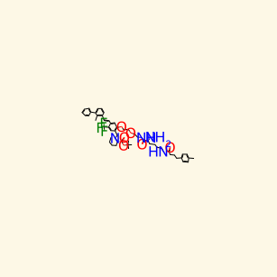 Cc1ccc(CCCC(=O)NCCCC[C@H](N)C(=O)NCCOCCOc2cc(/C=C/c3cccc(-c4ccccc4)c3C)c(C(F)(F)F)cc2CN2CCCC[C@H]2C(=O)OC(C)(C)C)cc1